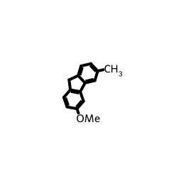 COc1ccc2c(c1)-c1cc(C)ccc1C2